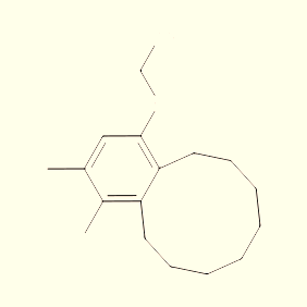 Cc1cc(OCC(=O)O)c2c(c1C)CCCCCCCC2